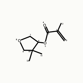 C=C(C)C(=O)OC1COCC1(C)C